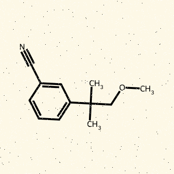 COCC(C)(C)c1cccc(C#N)c1